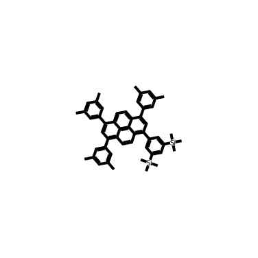 Cc1cc(C)cc(-c2cc(-c3cc(C)cc(C)c3)c3ccc4c(-c5cc([Si](C)(C)C)cc([Si](C)(C)C)c5)cc(-c5cc(C)cc(C)c5)c5ccc2c3c54)c1